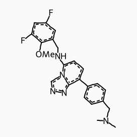 COc1c(F)cc(F)cc1CNc1ccc(-c2ccc(CN(C)C)cc2)c2nncn12